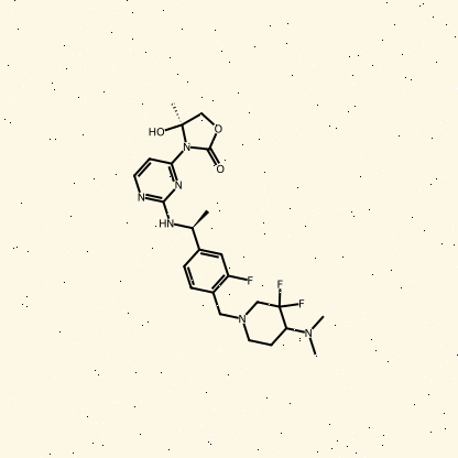 C[C@H](Nc1nccc(N2C(=O)OC[C@]2(C)O)n1)c1ccc(CN2CCC(N(C)C)C(F)(F)C2)c(F)c1